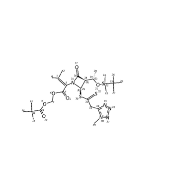 CC(C)=C(C(=O)OCOC(=O)C(C)(C)C)N1C(=O)[C@@H]([C@H](C)O[Si](C)(C)C(C)(C)C)[C@H]1SC(=S)Cc1nnnn1C